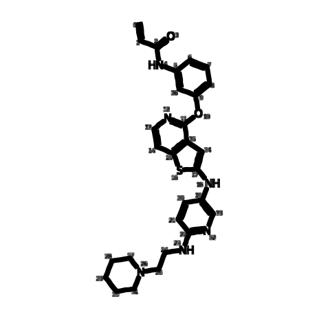 C=CC(=O)Nc1cccc(Oc2nccc3sc(Nc4ccc(NCCN5CCCCC5)nc4)cc23)c1